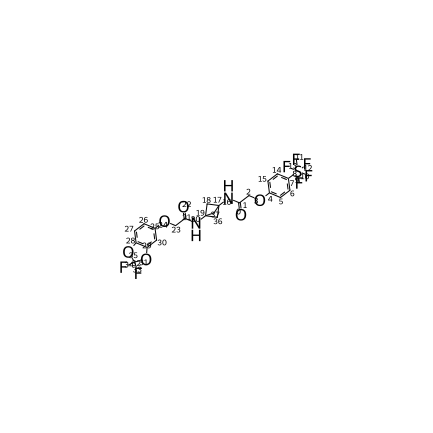 O=C(COc1ccc(S(F)(F)(F)(F)F)cc1)NC12CC(NC(=O)COc3ccc4c(c3)OC(F)(F)O4)(C1)C2